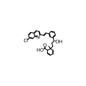 CC1(CC[C@H](O)c2cccc(/C=C/c3ccc4ccc(Cl)cc4n3)c2)C=CC=CC1C(=O)O